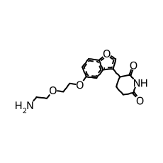 NCCOCCOc1ccc2occ(C3CCC(=O)NC3=O)c2c1